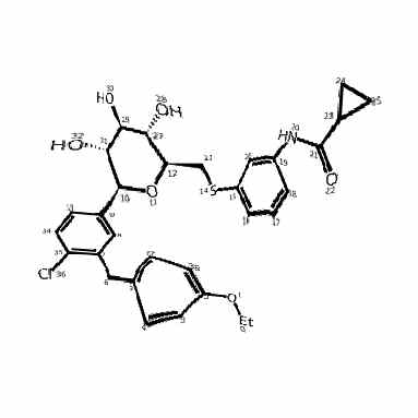 CCOc1ccc(Cc2cc([C@@H]3O[C@H](CSc4cccc(NC(=O)C5CC5)c4)[C@@H](O)[C@H](O)[C@H]3O)ccc2Cl)cc1